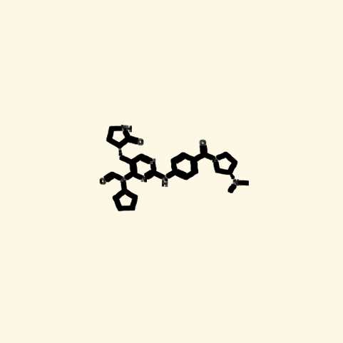 CN(C)[C@H]1CCN(C(=O)c2ccc(Nc3ncc(C[C@@H]4CCNC4=O)c(N(C=O)C4CCCC4)n3)cc2)C1